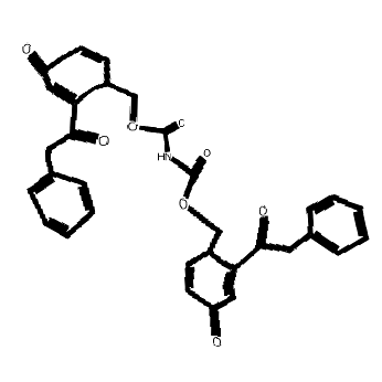 O=C1C=CC(COC(=O)NC(=O)OCC2C=CC(=O)C=C2C(=O)Cc2ccccc2)C(C(=O)Cc2ccccc2)=C1